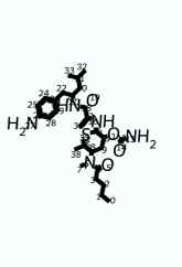 CCCCC(=O)N(C)C(CC(OC(N)=O)C1NC(C(=O)NC(Cc2ccc(N)cc2)CC(C)C)=CS1)C(C)C